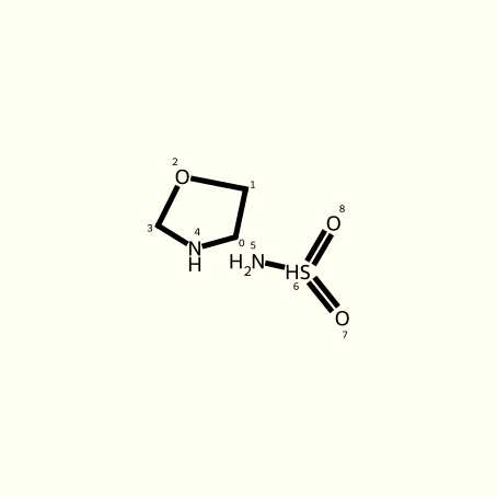 C1COCN1.N[SH](=O)=O